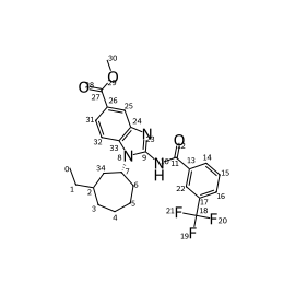 CCC1CCCC[C@@H](n2c(NC(=O)c3cccc(C(F)(F)F)c3)nc3cc(C(=O)OC)ccc32)C1